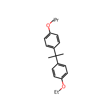 CCOc1ccc(C(C)(C)c2ccc(OC(C)C)cc2)cc1